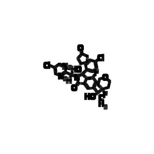 [2H]C([2H])(c1ncc(Cl)cn1)N1C(=O)c2cc([C@](C)(O)C3(F)CCOCC3)cc(F)c2[C@]1(O[C@H]1CCC(=O)C1)c1ccc(Cl)cc1